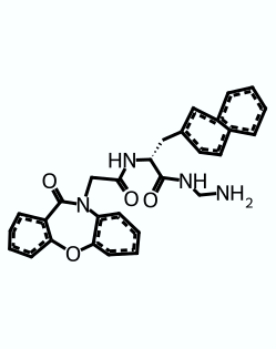 NCNC(=O)[C@@H](Cc1ccc2ccccc2c1)NC(=O)CN1C(=O)c2ccccc2Oc2ccccc21